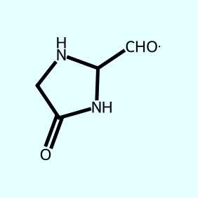 O=[C]C1NCC(=O)N1